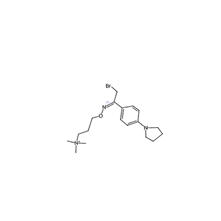 C[N+](C)(C)CCCO/N=C(/CBr)c1ccc(N2CCCC2)cc1